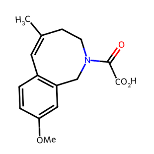 COc1ccc2c(c1)CN(C(=O)C(=O)O)CC/C(C)=C\2